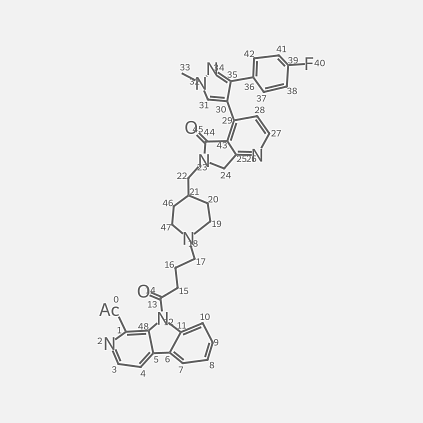 CC(=O)c1nccc2c3ccccc3n(C(=O)CCCN3CCC(CN4Cc5nccc(-c6cn(C)nc6-c6ccc(F)cc6)c5C4=O)CC3)c12